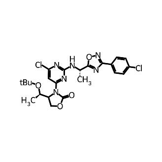 C[C@H](Nc1nc(Cl)cc(N2C(=O)OCC2[C@@H](C)OC(C)(C)C)n1)c1nc(-c2ccc(Cl)cc2)no1